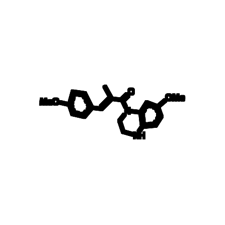 COc1ccc(C=C(C)C(=O)N2CCNc3ccc(OC)cc32)cc1